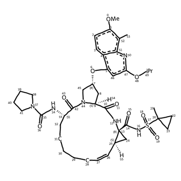 COc1ccc2c(O[C@@H]3C[C@H]4C(=O)N[C@]5(C(=O)NS(=O)(=O)C6(C)CC6)C[C@H]5C=CCCCCC[C@H](NC(=O)N5CCCC5)C(=O)N4C3)cc(OC(C)C)nc2c1C